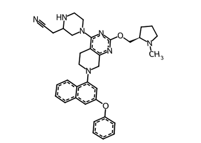 CN1CCC[C@@H]1COc1nc2c(c(N3CCNC(CC#N)C3)n1)CCN(c1cc(Oc3ccccc3)cc3ccccc13)C2